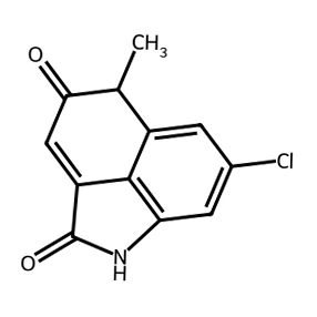 CC1C(=O)C=C2C(=O)Nc3cc(Cl)cc1c32